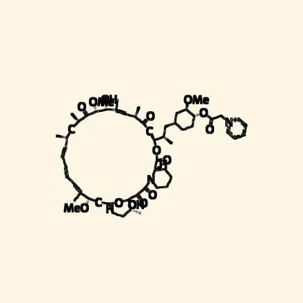 CO[C@H]1C[C@@H]2CC[C@@H](C)[C@@](O)(O2)C(=O)C(=O)N2CCCC[C@H]2C(=O)O[C@H]([C@H](C)C[C@@H]2CC[C@@H](OC(=O)C[n+]3ccccc3)[C@H](OC)C2)CC(=O)[C@H](C)/C=C(\C)[C@@H](O)[C@@H](OC)C(=O)[C@H](C)C[C@H](C)/C=C/C=C/C=C/1C